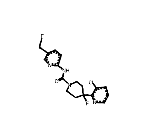 O=C(Nc1ccc(CF)cn1)N1CCC(F)(c2ncccc2Cl)CC1